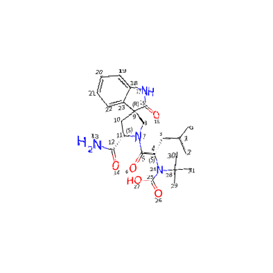 CC(C)C[C@@H](C(=O)N1C[C@]2(C[C@H]1C(N)=O)C(=O)Nc1ccccc12)N(C(=O)O)C(C)(C)C